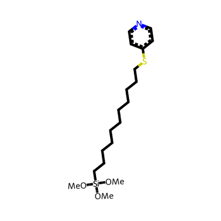 CO[Si](CCCCCCCCCCCSc1ccncc1)(OC)OC